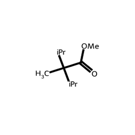 COC(=O)C(C)(C(C)C)C(C)C